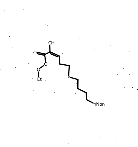 CCCCCCCCCCCCCCCCC=C(C)C(=O)OOCC